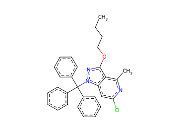 CCCCOc1nn(C(c2ccccc2)(c2ccccc2)c2ccccc2)c2cc(Cl)nc(C)c12